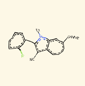 CCn1c(-c2ccccc2F)c(C#N)c2ccc(OC)cc21